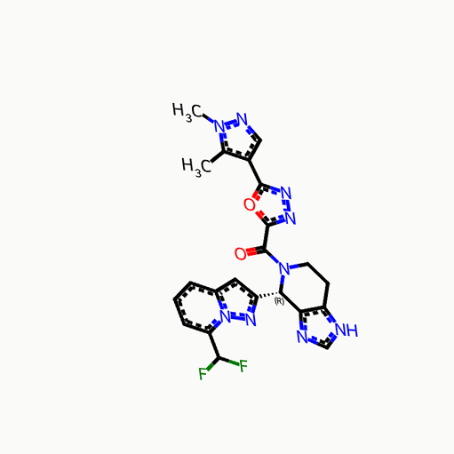 Cc1c(-c2nnc(C(=O)N3CCc4[nH]cnc4[C@@H]3c3cc4cccc(C(F)F)n4n3)o2)cnn1C